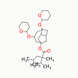 CC(C)CC(C)(C(=O)OC12CC(OC3CCCCO3)CC3(OC4CCCCO4)CC(C1)C3C2)C(C)C